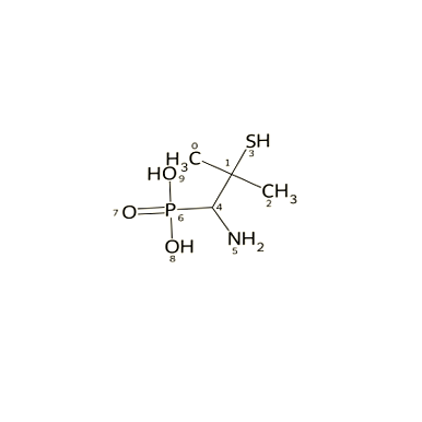 CC(C)(S)C(N)P(=O)(O)O